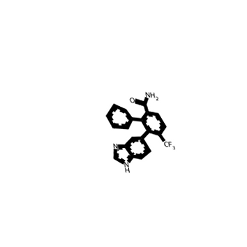 NC(=O)c1ccc(C(F)(F)F)c(-c2ccc3[nH]cnc3c2)c1-c1ccccc1